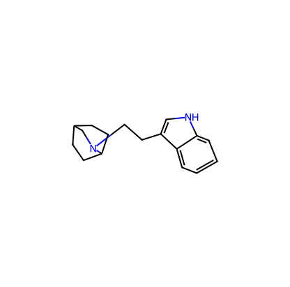 c1ccc2c(CCN3CC4CCC3CC4)c[nH]c2c1